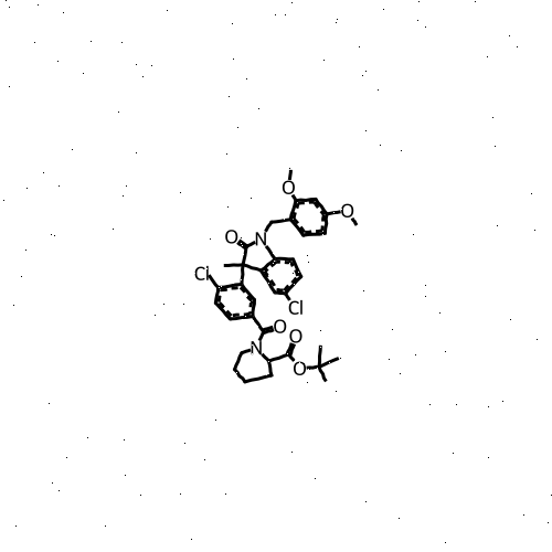 COc1ccc(CN2C(=O)C(C)(c3cc(C(=O)N4CCCCC4C(=O)OC(C)(C)C)ccc3Cl)c3cc(Cl)ccc32)c(OC)c1